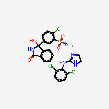 Clc1cccc(Cl)c1NC1=NCCN1.NS(=O)(=O)c1cc(C2(O)NC(=O)c3ccccc32)ccc1Cl